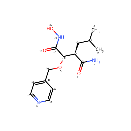 CC(C)C[C@@H](C(N)=O)[C@H](OCc1ccncc1)C(=O)NO